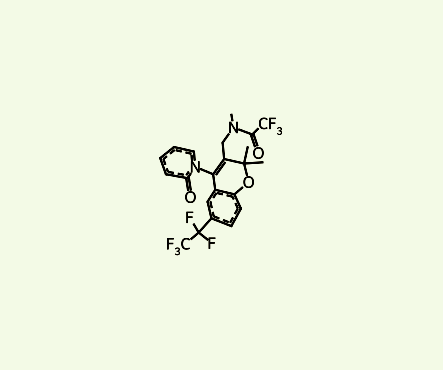 CN(CC1=C(n2ccccc2=O)c2cc(C(F)(F)C(F)(F)F)ccc2OC1(C)C)C(=O)C(F)(F)F